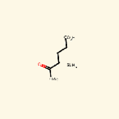 CC(=O)OC(=O)CCCC(=O)O.[SbH3]